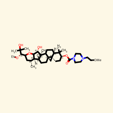 CCO[C@@H](C1C[C@@H](C)[C@H]2C(O1)[C@H](O)[C@@]1(C)C3CC[C@H]4C(C)(C)[C@@H](OC(=O)N5CCN(CCOC)CC5)CC[C@@]45C[C@@]35CC[C@]21C)C(C)(C)O